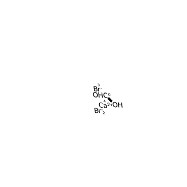 O=CO.[Br-].[Br-].[Ca+2]